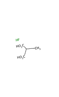 CC(C(=O)O)C(=O)O.F